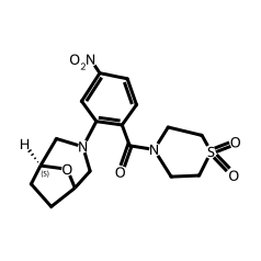 O=C(c1ccc([N+](=O)[O-])cc1N1CC2CC[C@@H](C1)O2)N1CCS(=O)(=O)CC1